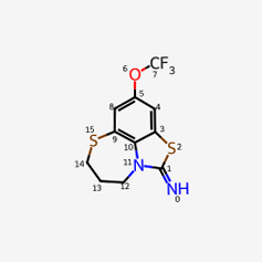 N=c1sc2cc(OC(F)(F)F)cc3c2n1CCCS3